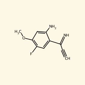 C#CC(=N)c1cc(F)c(OC)cc1N